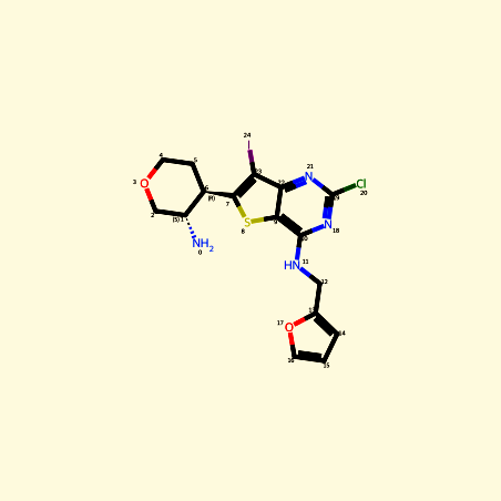 N[C@@H]1COCC[C@H]1c1sc2c(NCc3ccco3)nc(Cl)nc2c1I